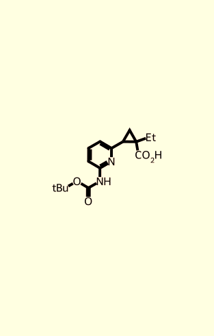 CCC1(C(=O)O)CC1c1cccc(NC(=O)OC(C)(C)C)n1